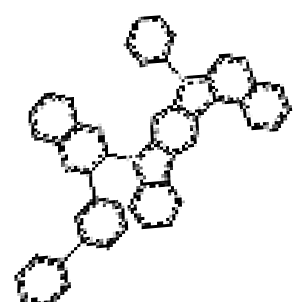 c1ccc(-c2cccc(-c3nc4ccccc4nc3-n3c4ccccc4c4cc5c6c7ccccc7ccc6n(-c6ccccc6)c5cc43)c2)cc1